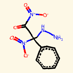 NNC(C(=O)[N+](=O)[O-])(c1ccccc1)[N+](=O)[O-]